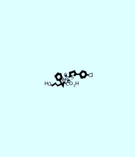 O=C(O)C1(NS(=O)(=O)c2ccc(-c3ccc(Cl)cc3)s2)CC1(CCCO)c1ccccc1